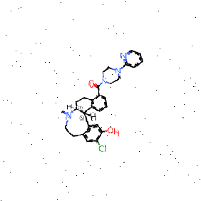 CN1CCc2cc(Cl)c(O)cc2[C@H]2c3cccc(C(=O)N4CCN(c5ccccn5)CC4)c3CC[C@@H]21